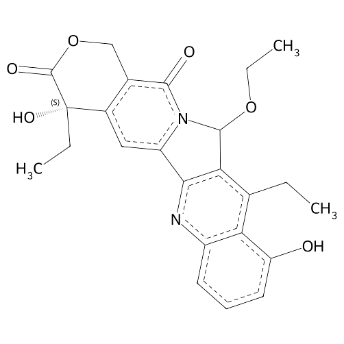 CCOC1c2c(nc3cccc(O)c3c2CC)-c2cc3c(c(=O)n21)COC(=O)[C@]3(O)CC